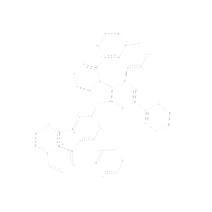 c1ccc(-c2cc3c4c5c(cccc5n(-c5nc(-c6ccccc6)c6c(n5)-c5cccc7cccc-6c57)c4c2)-c2cccc4cccc-3c24)cc1